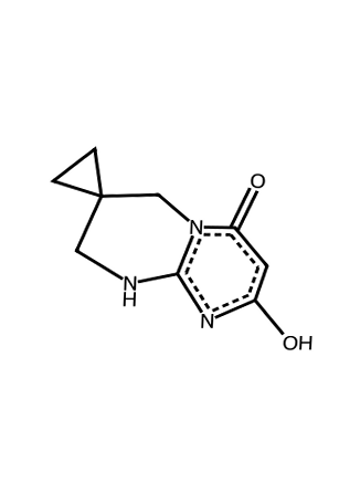 O=c1cc(O)nc2n1CC1(CC1)CN2